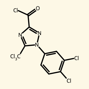 O=C(Cl)c1nc(C(Cl)(Cl)Cl)n(-c2ccc(Cl)c(Cl)c2)n1